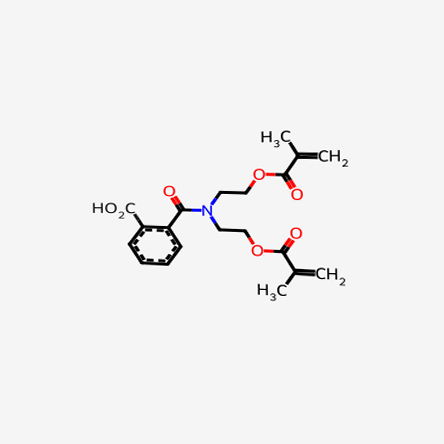 C=C(C)C(=O)OCCN(CCOC(=O)C(=C)C)C(=O)c1ccccc1C(=O)O